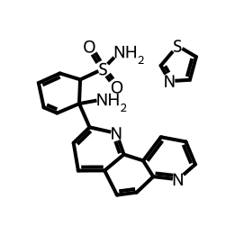 NC1(c2ccc3ccc4ncccc4c3n2)C=CC=CC1S(N)(=O)=O.c1cscn1